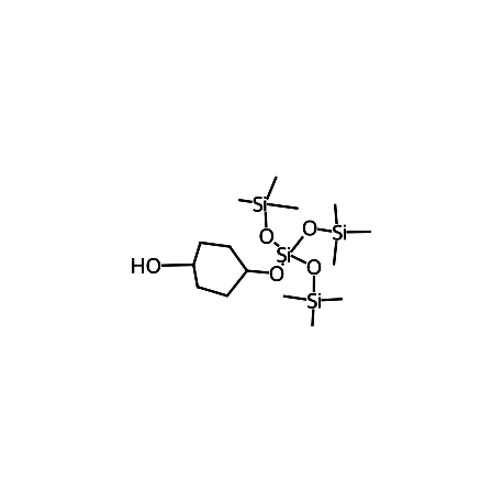 C[Si](C)(C)O[Si](OC1CCC(O)CC1)(O[Si](C)(C)C)O[Si](C)(C)C